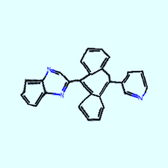 c1cncc(-c2c3ccccc3c(-c3cnc4ccccc4n3)c3ccccc23)c1